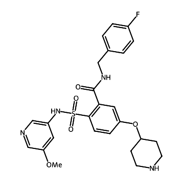 COc1cncc(NS(=O)(=O)c2ccc(OC3CCNCC3)cc2C(=O)NCc2ccc(F)cc2)c1